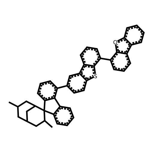 CC1CC2CC(C)C3(c4ccccc4-c4c(-c5ccc6sc7c(-c8cccc9c8oc8ccccc89)cccc7c6c5)cccc43)C(C1)C2